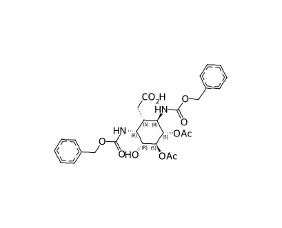 CC(=O)O[C@H]1[C@H](O)[C@H](NC(=O)OCc2ccccc2)[C@H](CC(=O)O)[C@@H](NC(=O)OCc2ccccc2)[C@@H]1OC(C)=O